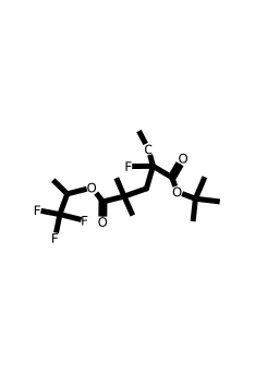 CCC(F)(CC(C)(C)C(=O)OC(C)C(F)(F)F)C(=O)OC(C)(C)C